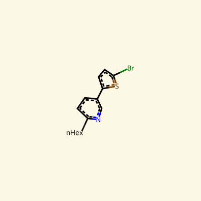 CCCCCCc1ccc(-c2ccc(Br)s2)cn1